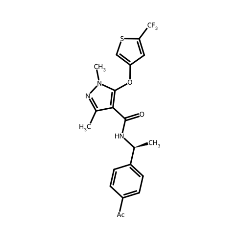 CC(=O)c1ccc([C@H](C)NC(=O)c2c(C)nn(C)c2Oc2csc(C(F)(F)F)c2)cc1